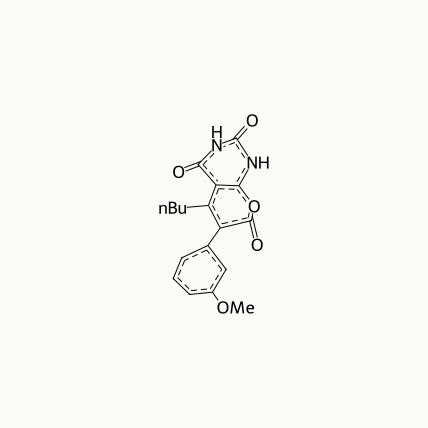 CCCCc1c(-c2cccc(OC)c2)c(=O)oc2[nH]c(=O)[nH]c(=O)c12